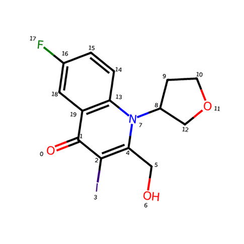 O=c1c(I)c(CO)n(C2CCOC2)c2ccc(F)cc12